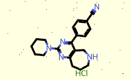 Cl.N#Cc1ccc(-c2nc(N3CCCCC3)nc3c2CNCCC3)cc1